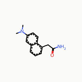 CN(C)c1ccc2c(CC(N)=O)cccc2c1